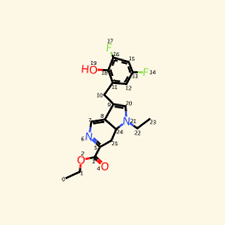 CCOC(=O)C1=NC=C2C(Cc3cc(F)cc(F)c3O)=CN(CC)C2C1